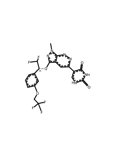 Cn1nc(O[C@H](c2cccc(OCC(F)(F)F)c2)C(F)F)c2cc(-c3c[nH]c(=O)[nH]c3=O)nnc21